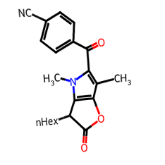 CCCCCCC1C(=O)Oc2c(C)c(C(=O)c3ccc(C#N)cc3)n(C)c21